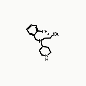 CC(C)(C)CCN(Cc1ccccc1C(F)(F)F)C1CCNCC1